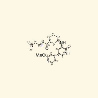 COc1cc(-c2c[nH]c(=O)c(N[C@H]3CCCN(C(=O)/C=C/CN(C)C)C3)c2)ccn1